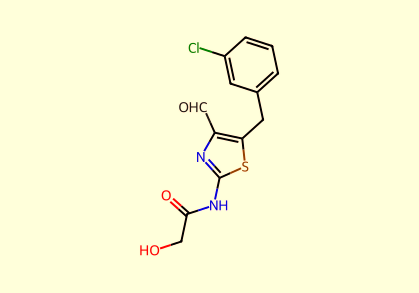 O=Cc1nc(NC(=O)CO)sc1Cc1cccc(Cl)c1